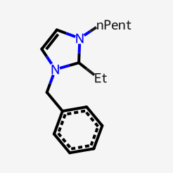 CCCCCN1C=CN(Cc2ccccc2)C1CC